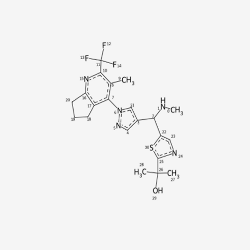 CNC(c1cnn(-c2c(C)c(C(F)(F)F)nc3c2CCC3)c1)c1cnc(C(C)(C)O)s1